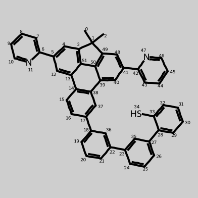 CC1(C)c2cc(-c3ccccn3)cc3c4ccc(-c5cccc(-c6cccc(-c7ccccc7S)c6)c5)cc4c4cc(-c5ccccn5)cc1c4c23